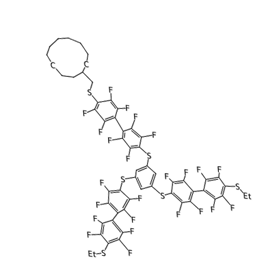 CCSc1c(F)c(F)c(-c2c(F)c(F)c(Sc3cc(Sc4c(F)c(F)c(-c5c(F)c(F)c(SCC)c(F)c5F)c(F)c4F)cc(Sc4c(F)c(F)c(-c5c(F)c(F)c(SCC6CCCCCCCCCC6)c(F)c5F)c(F)c4F)c3)c(F)c2F)c(F)c1F